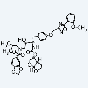 COc1ccccc1-c1nc(COc2ccc(C[C@H](NC(=O)O[C@H]3CO[C@H]4OCC[C@H]43)[C@H](O)CN(CC(C)C)S(=O)(=O)c3ccc4c(c3)OCO4)cc2)no1